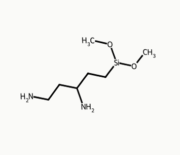 CO[Si](CCC(N)CCN)OC